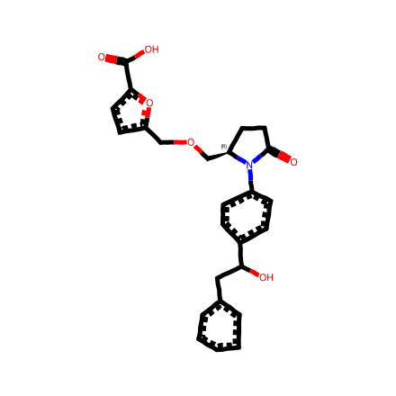 O=C(O)c1ccc(COC[C@H]2CCC(=O)N2c2ccc(C(O)Cc3ccccc3)cc2)o1